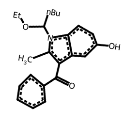 CCCCC(OCC)n1c(C)c(C(=O)c2ccccc2)c2cc(O)ccc21